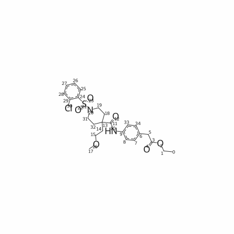 CCOC(=O)Cc1ccc(NC(=O)C2(CCOC)CCN(S(=O)(=O)c3ccccc3Cl)CC2)cc1